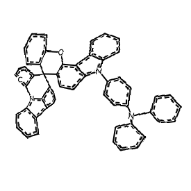 c1ccc(N(c2ccccc2)c2ccc(-n3c4ccccc4c4c5c(ccc43)C3(c4ccccc4O5)c4ccccc4-n4c5ccccc5c5cccc3c54)cc2)cc1